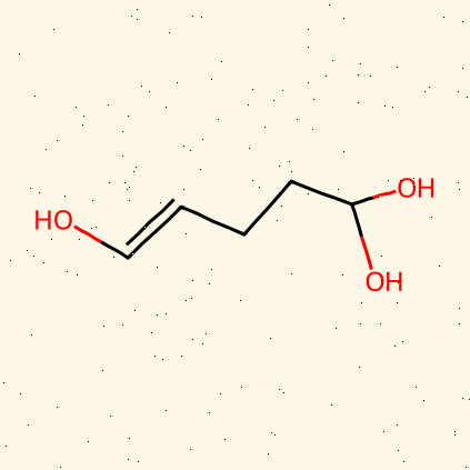 OC=CCCC(O)O